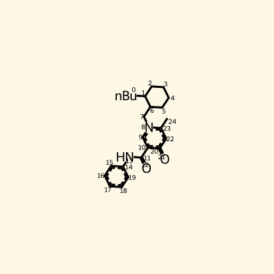 CCCCC1CCCCC1Cn1cc(C(=O)Nc2ccccc2)c(=O)cc1C